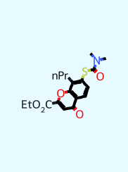 CCCc1c(SC(=O)N(C)C)ccc2c(=O)cc(C(=O)OCC)oc12